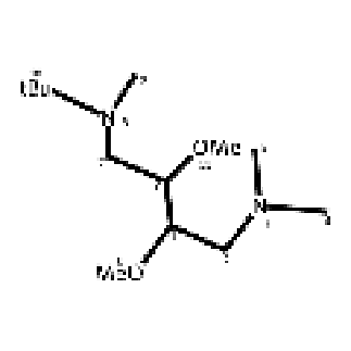 COC(CN(C)C)C(CN(C)C(C)(C)C)OC